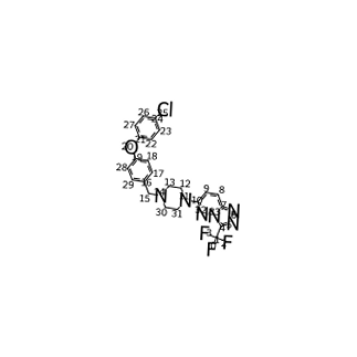 FC(F)(F)c1nnc2ccc(N3CCN(Cc4ccc(Oc5ccc(Cl)cc5)cc4)CC3)nn12